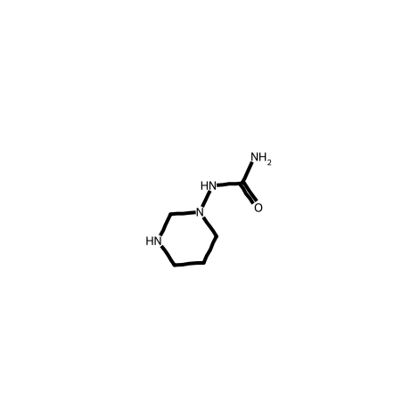 NC(=O)NN1CCCNC1